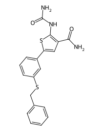 NC(=O)Nc1sc(-c2cccc(SCc3ccccc3)c2)cc1C(N)=O